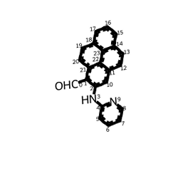 O=Cc1c(Nc2ccccn2)cc2ccc3cccc4ccc1c2c34